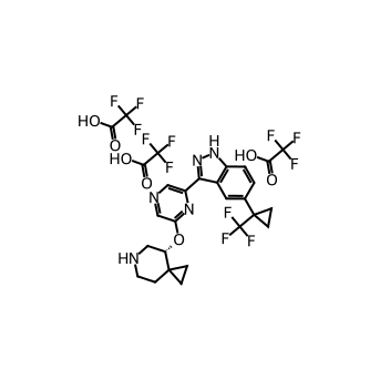 FC(F)(F)C1(c2ccc3[nH]nc(-c4cncc(O[C@H]5CNCCC56CC6)n4)c3c2)CC1.O=C(O)C(F)(F)F.O=C(O)C(F)(F)F.O=C(O)C(F)(F)F